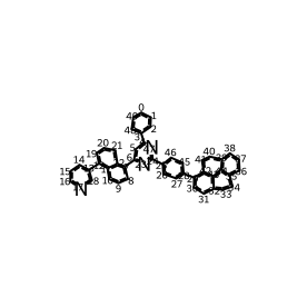 c1ccc(-c2cc(-c3cccc4c(-c5cccnc5)cccc34)nc(-c3ccc(-c4ccc5ccc6cccc7ccc4c5c67)cc3)n2)cc1